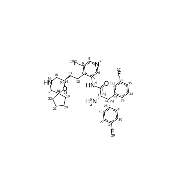 N[C@H](C(=O)Nc1cncc(F)c1CC[C@@H]1CNCC2(CCCC2)O1)[C@@H](c1ccc(F)cc1)c1cccc(F)c1